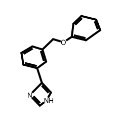 c1ccc(OCc2cccc(-c3c[nH]cn3)c2)cc1